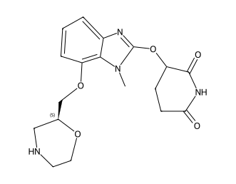 Cn1c(OC2CCC(=O)NC2=O)nc2cccc(OC[C@@H]3CNCCO3)c21